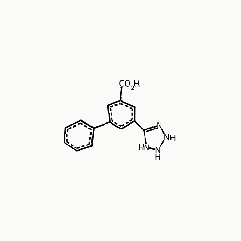 O=C(O)c1cc(C2=NNNN2)cc(-c2ccccc2)c1